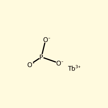 [O-]P([O-])[O-].[Tb+3]